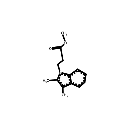 COC(=O)CCn1c(C)c(C)c2ccccc21